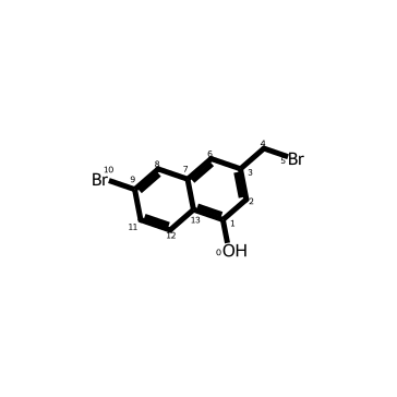 Oc1cc(CBr)cc2cc(Br)ccc12